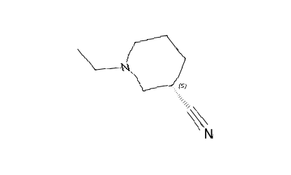 CCN1CCC[C@H](C#N)C1